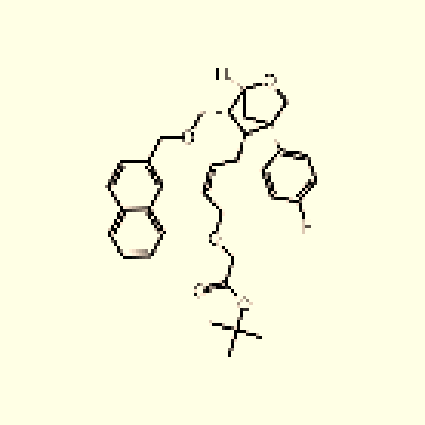 CC(C)(C)OC(=O)COC/C=C\C[C@H]1[C@H](COCc2ccc3ccccc3c2)[C@@H]2C[C@@]1(c1ccc(F)cc1)CO2